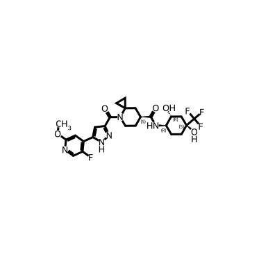 COc1cc(-c2cc(C(=O)N3CC[C@H](C(=O)N[C@@H]4CC[C@@](O)(C(F)(F)F)C[C@H]4O)CC34CC4)n[nH]2)c(F)cn1